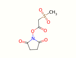 CS(=O)(=O)CC(=O)ON1C(=O)CCC1=O